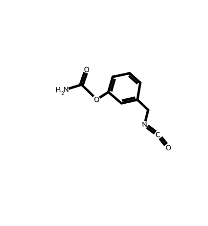 NC(=O)Oc1cccc(CN=C=O)c1